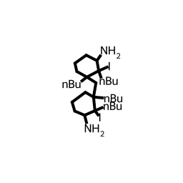 CCCCC1(CC2(CCCC)CCCC(N)C2(I)CCCC)CCCC(N)C1(I)CCCC